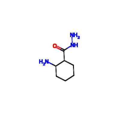 NNC(=O)C1CCCCC1N